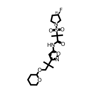 CC(C)(COC1CCCCO1)c1cc(NC(=O)C(C)(C)S(=O)(=O)N2CC[C@@H](F)C2)on1